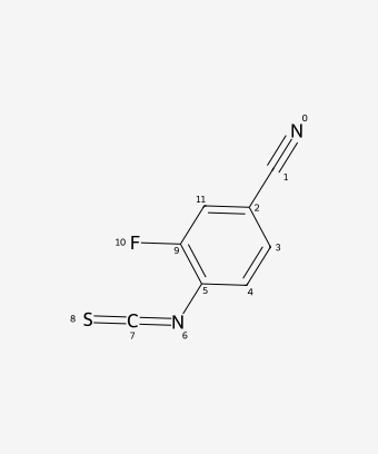 N#Cc1ccc(N=C=S)c(F)c1